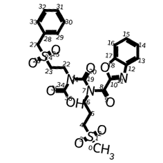 CS(=O)(=O)CCCN(C(=O)c1nc2ccccc2o1)C(=O)N(CCS(=O)(=O)Cc1ccccc1)C(=O)O